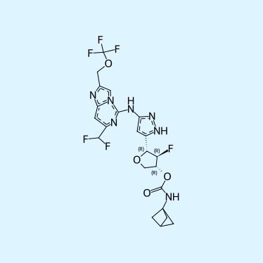 O=C(NC12CC(C1)C2)O[C@@H]1CO[C@H](c2cc(Nc3nc(C(F)F)cc4nc(COC(F)(F)F)cn34)n[nH]2)[C@H]1F